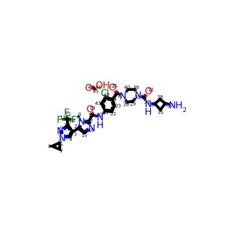 Cn1c(-c2cn(C3CC3)nc2C(F)(F)F)cnc1C(=O)Nc1ccc(C(=O)N2CCN(C(=O)NC3CC(N)C3)CC2)c(Cl)c1.O=CO